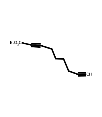 C#CCCCCC#CC(=O)OCC